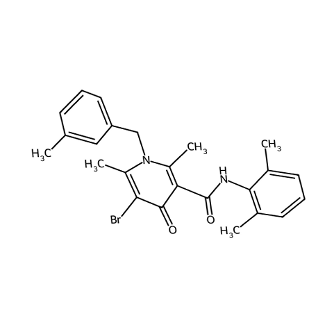 Cc1cccc(Cn2c(C)c(Br)c(=O)c(C(=O)Nc3c(C)cccc3C)c2C)c1